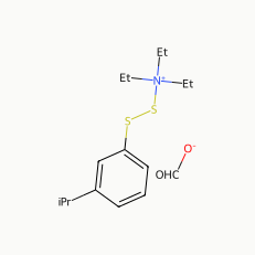 CC[N+](CC)(CC)SSc1cccc(C(C)C)c1.O=C[O-]